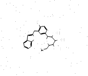 O=NCC1OC(c2ccc(F)c(Cc3cc4ccccc4s3)c2)C(O)C(O)C1O